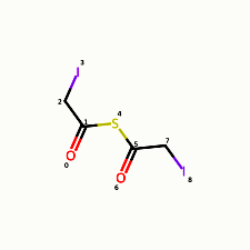 O=C(CI)SC(=O)CI